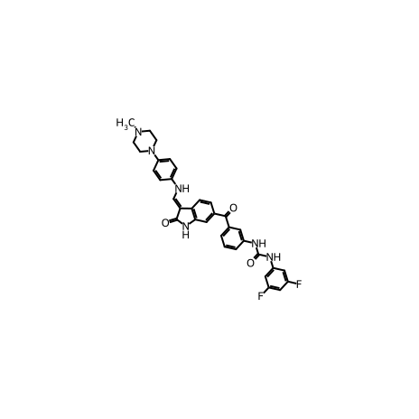 CN1CCN(c2ccc(N/C=C3/C(=O)Nc4cc(C(=O)c5cccc(NC(=O)Nc6cc(F)cc(F)c6)c5)ccc43)cc2)CC1